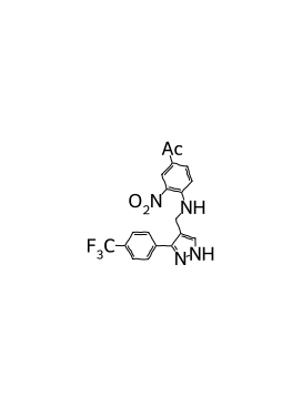 CC(=O)c1ccc(NCc2c[nH]nc2-c2ccc(C(F)(F)F)cc2)c([N+](=O)[O-])c1